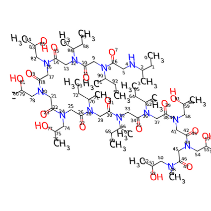 CCC(C)NCC(=O)N(CC(=O)N(CC(=O)N(CC(=O)N(CC(=O)N(CC(=O)N(CC(=O)N(CC(=O)N(CC(=O)N(CC(=O)N(CC(=O)N(C)CC(C)O)CC(C)O)CC(C)O)C(C)CC)C(C)CC)C(C)CC)CC(C)O)CC(C)O)CC(C)O)C(C)CC)C(C)CC